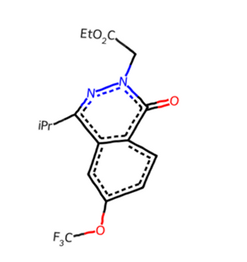 CCOC(=O)Cn1nc(C(C)C)c2cc(OC(F)(F)F)ccc2c1=O